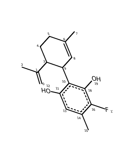 C=C(C)C1CCC(C)=CC1c1c(O)cc(C)c(F)c1O